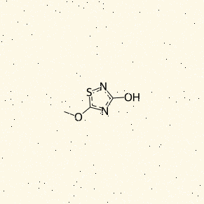 COc1nc(O)ns1